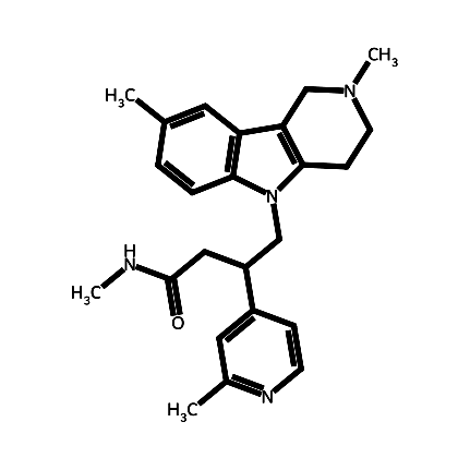 CNC(=O)CC(Cn1c2c(c3cc(C)ccc31)CN(C)CC2)c1ccnc(C)c1